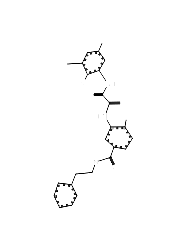 O=C(Nc1cc(C(=O)NCCc2ccccc2)ccc1O)C(=O)Nc1cc(Cl)cc(Cl)c1O